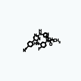 C=CC(=O)Nc1ccc(F)c(Nc2nc(Nc3cnn(C)c3)ncc2-c2ccc(C#N)cc2)c1